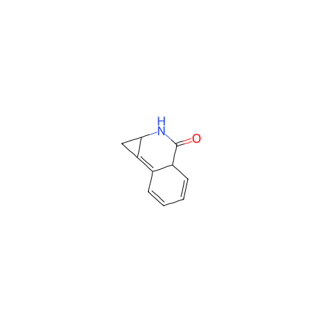 O=C1NC2CC2=C2C=CC=CC12